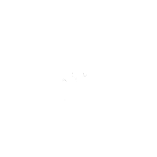 C=C(CN1C(=C)C=C(c2ccc(C)cc2)N=C1CCCCC)NCC(C)C